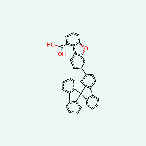 OB(O)c1cccc2oc3cc(-c4ccc5c(c4)C4(c6ccccc6-c6ccccc64)c4ccccc4-5)ccc3c12